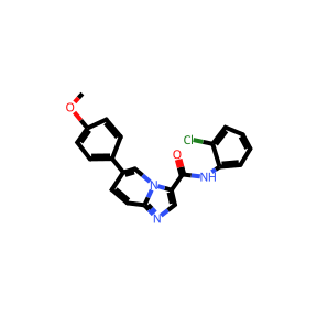 COc1ccc(-c2ccc3ncc(C(=O)Nc4ccccc4Cl)n3c2)cc1